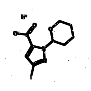 O=S([O-])c1cc(I)nn1C1CCCCO1.[Li+]